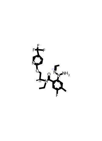 C/C=N\N(N)c1cc(C)c(F)cc1C(=O)N(CC)[C@@H](C)COc1ccc(C(F)(F)F)cn1